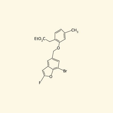 CCOC(=O)Cc1ccc(C)cc1OCc1cc(Br)c2oc(F)cc2c1